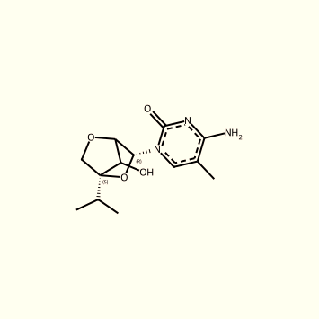 Cc1cn([C@@H]2O[C@@]3(C(C)C)COC2C3O)c(=O)nc1N